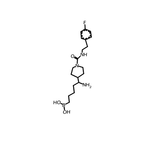 NC(CCCCB(O)O)C1CCN(C(=O)NCCc2ccc(F)cc2)CC1